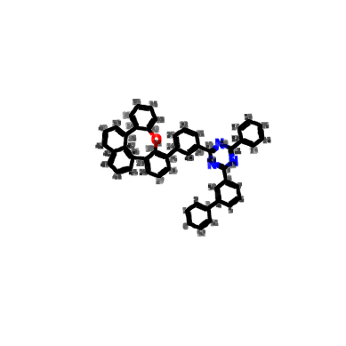 c1ccc(-c2cccc(-c3nc(-c4ccccc4)nc(-c4cccc(-c5cccc6c5Oc5ccccc5-c5cccc7cccc-6c57)c4)n3)c2)cc1